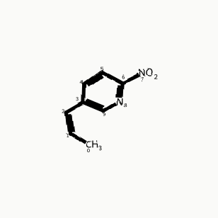 C/C=C\c1ccc([N+](=O)[O-])nc1